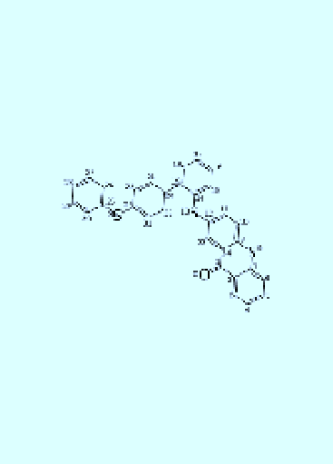 O=c1c2ccccc2sc2ccc(Sc3ccccc3-c3ccc(Sc4ccccc4)cc3)cc12